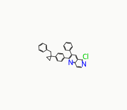 Clc1nccc2nc(-c3ccc(C4(Cc5ccccc5)CC4)cc3)c(-c3ccccc3)cc12